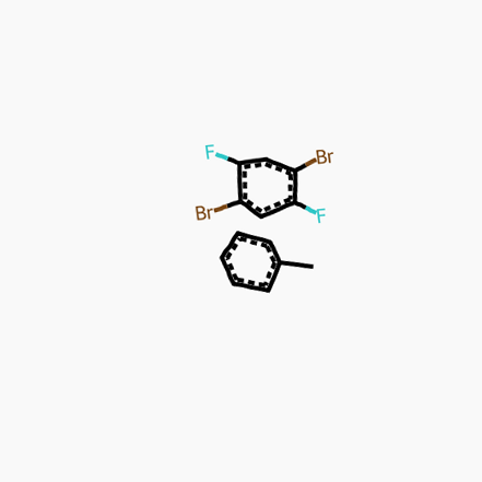 Cc1ccccc1.Fc1cc(Br)c(F)cc1Br